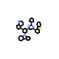 c1ccc(-c2nc(-c3cc(-c4cccc5ncccc45)cc(-n4c5ccccc5c5ccccc54)c3)cc(-c3cccc4sc5ccccc5c34)n2)cc1